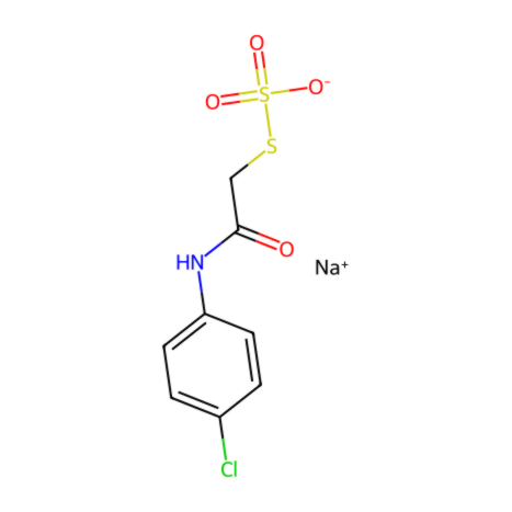 O=C(CSS(=O)(=O)[O-])Nc1ccc(Cl)cc1.[Na+]